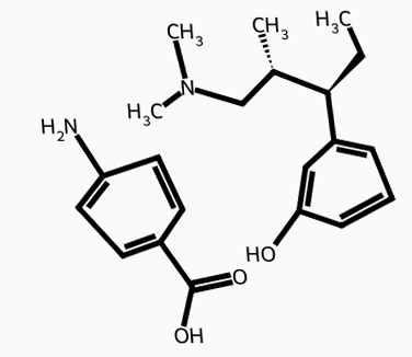 CC[C@@H](c1cccc(O)c1)[C@@H](C)CN(C)C.Nc1ccc(C(=O)O)cc1